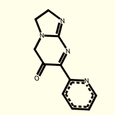 O=C1CN2CCN=C2N=C1c1ccccn1